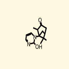 CC1C(=O)CC2CC1(N1C=CC=NC1O)C2(C)C